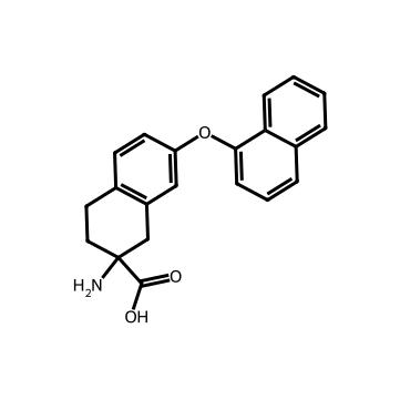 NC1(C(=O)O)CCc2ccc(Oc3cccc4ccccc34)cc2C1